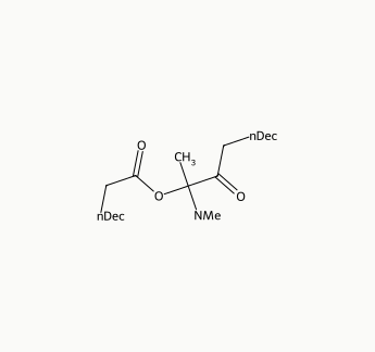 CCCCCCCCCCCC(=O)OC(C)(NC)C(=O)CCCCCCCCCCC